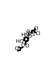 O=C(OCC1CCOC1)c1ccc(NS(=O)(=O)c2cc(Cl)c(Cl)s2)cc1O